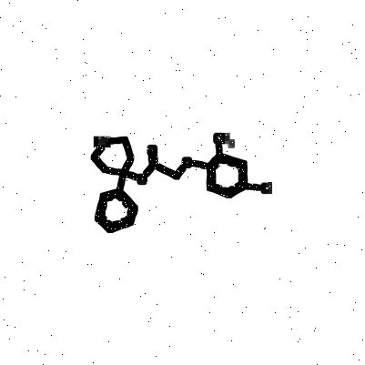 Cc1cc(Cl)ccc1OCC(=O)OC1(c2ccccc2)CCNCC1